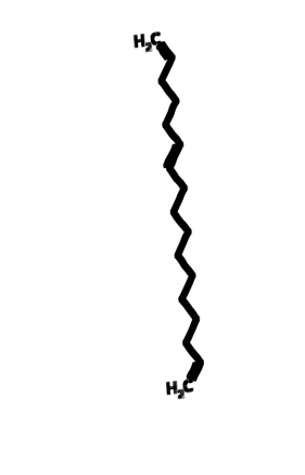 C=CCCCC=CCCCCCCCCC=C